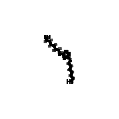 SCCCCCCSc1nnc(SCCCCCCS)s1